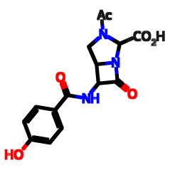 CC(=O)N1CC2C(NC(=O)c3ccc(O)cc3)C(=O)N2C1C(=O)O